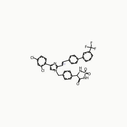 O=C1NS(=O)(=O)NC1c1ccc(Cn2cc(-c3ccc(Cl)cc3Cl)nc2/C=C/c2ccc(-c3cccc(C(F)(F)F)c3)cc2)cc1